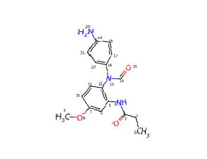 CCC(=O)Nc1cc(OC)ccc1N(C=O)c1ccc(N)cc1